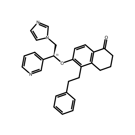 O=C1CCCc2c1ccc(O[C@H](Cn1ccnc1)c1cccnc1)c2CCc1ccccc1